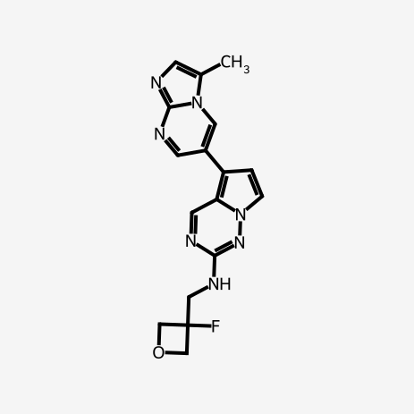 Cc1cnc2ncc(-c3ccn4nc(NCC5(F)COC5)ncc34)cn12